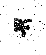 Cc1cc2c(cc1N1c3cc(N(c4ccc(C(C)(C)C)cc4)c4ccc(C(C)(C)C)cc4)ccc3B3c4c(cc5c(oc6ccccc65)c41)-c1cc4c(cc1N3c1ccc3c(c1)C(C)(C)CCC3(C)C)oc1ccccc14)C(C)(C)CCC2(C)C